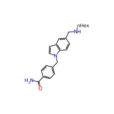 CCCCCCNCc1ccc2c(ccn2Cc2ccc(C(N)=O)cc2)c1